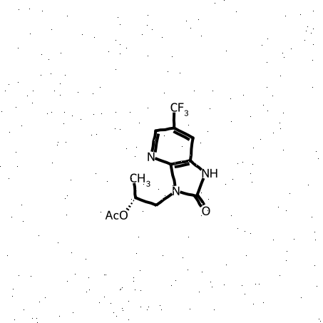 CC(=O)O[C@H](C)Cn1c(=O)[nH]c2cc(C(F)(F)F)cnc21